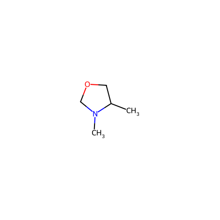 CC1COCN1C